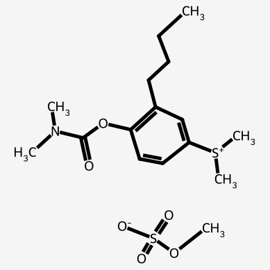 CCCCc1cc([S+](C)C)ccc1OC(=O)N(C)C.COS(=O)(=O)[O-]